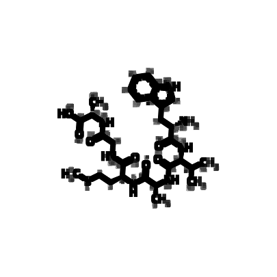 CSCC[C@H](NC(=O)[C@H](C)NC(=O)[C@@H](NC(=O)[C@@H](N)Cc1c[nH]c2ccccc12)C(C)C)C(=O)NCC(=O)N[C@@H](C)C(=O)O